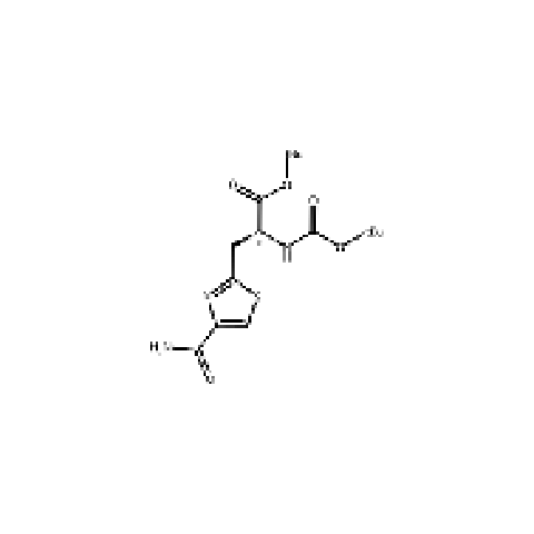 CC(C)(C)OC(=O)N[C@@H](Cc1nc(C(N)=O)cs1)C(=O)OC(C)(C)C